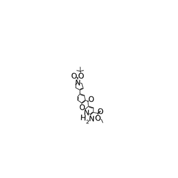 CCOC(=O)c1cc2c(=O)c3cc(C4=CCN(C(=O)OC(C)(C)C)CC4)ccc3oc2nc1N